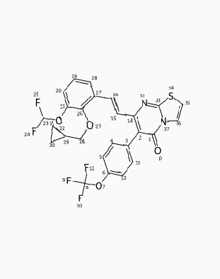 O=c1c(-c2ccc(OC(F)(F)F)cc2)c(C=Cc2cccc(OC(F)F)c2OCC2CC2)nc2sccn12